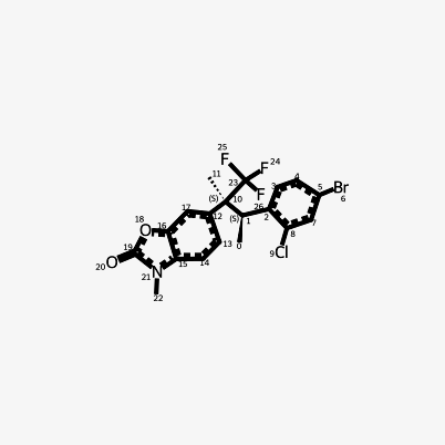 C[C@H](c1ccc(Br)cc1Cl)[C@@](C)(c1ccc2c(c1)oc(=O)n2C)C(F)(F)F